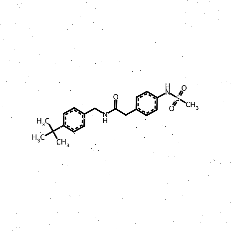 CC(C)(C)c1ccc(CNC(=O)Cc2ccc(NS(C)(=O)=O)cc2)cc1